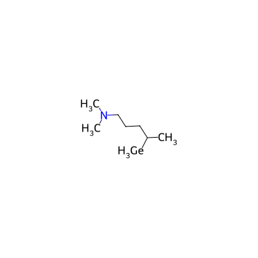 C[CH]([GeH3])CCCN(C)C